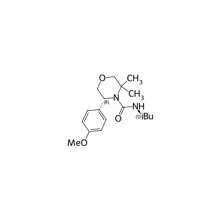 CC[C@H](C)NC(=O)N1[C@H](c2ccc(OC)cc2)COCC1(C)C